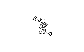 CC(=O)OC1C(C)C(C(=O)OCOC(=O)C(C)(C)C)N2C(=O)C(NC(=O)C(NC(=O)OCc3ccccc3)c3ccccc3)[C@@H]12